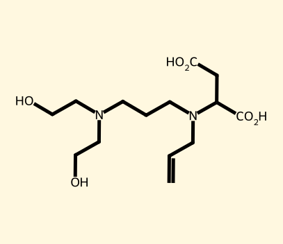 C=CCN(CCCN(CCO)CCO)C(CC(=O)O)C(=O)O